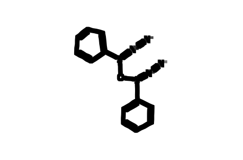 [N-]=[N+]=S(OS(=[N+]=[N-])c1ccccc1)c1ccccc1